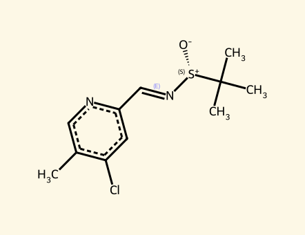 Cc1cnc(/C=N/[S@+]([O-])C(C)(C)C)cc1Cl